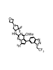 [2H]c1cc(-c2ccc3nnn(CC(F)(F)F)c3c2)c2c(OC)nc(N[C@@H]3CN(C4COC4)CC3(F)F)nn12